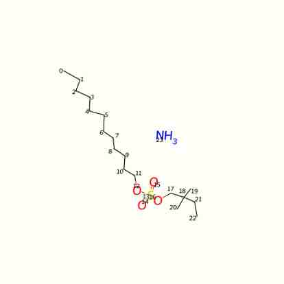 CCCCCCCCCCCCOS(=O)(=O)OCC(C)(C)CC.N